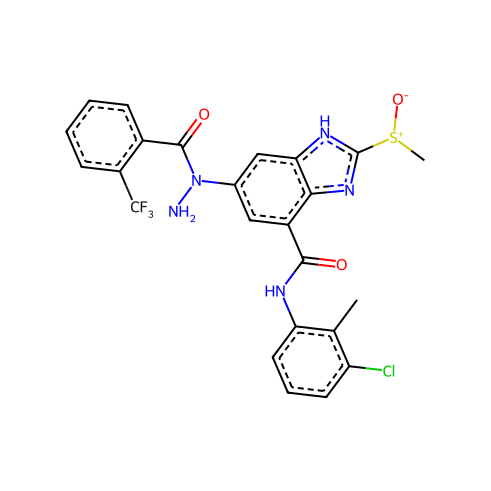 Cc1c(Cl)cccc1NC(=O)c1cc(N(N)C(=O)c2ccccc2C(F)(F)F)cc2[nH]c([S+](C)[O-])nc12